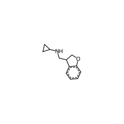 c1ccc2c(c1)OCC2CNC1CC1